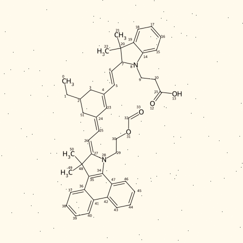 CCC1CC(/C=C/C2N(CCC(=O)O)c3ccccc3C2(C)C)=CC(=C/C=C2\N(CCOC=O)c3c(c4ccccc4c4ccccc34)C2(C)C)/C1